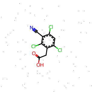 N#Cc1c(Cl)cc(Cl)c(CC(=O)O)c1Cl